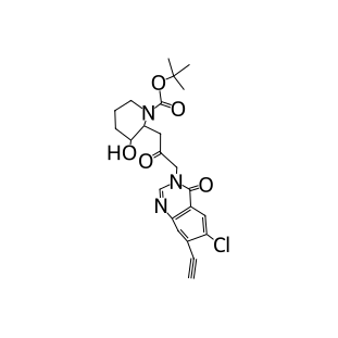 C#Cc1cc2ncn(CC(=O)CC3C(O)CCCN3C(=O)OC(C)(C)C)c(=O)c2cc1Cl